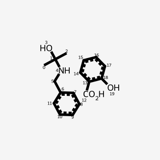 CC(C)(O)NCc1ccccc1.O=C(O)c1ccccc1O